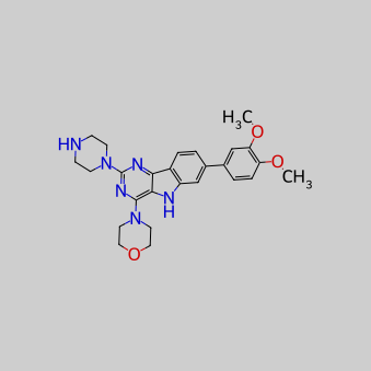 COc1ccc(-c2ccc3c(c2)[nH]c2c(N4CCOCC4)nc(N4CCNCC4)nc23)cc1OC